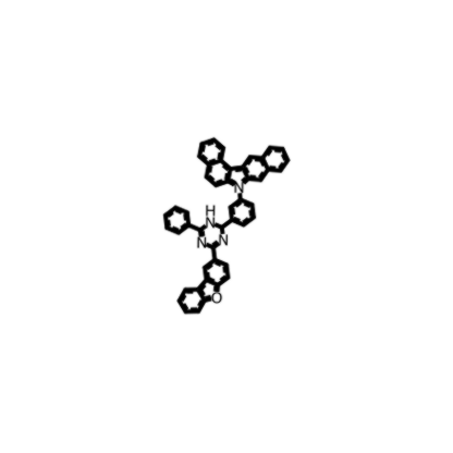 c1ccc(C2=NC(c3ccc4oc5ccccc5c4c3)=NC(c3cccc(-n4c5cc6ccccc6cc5c5c6ccccc6ccc54)c3)N2)cc1